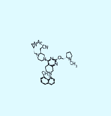 CC(=O)N1C[C@H]1CN1CCN(c2nc(OC[C@@H]3CCCN3C)nc3c2CCN(c2cccc4cccc(C)c24)C3)C[C@@H]1CC#N